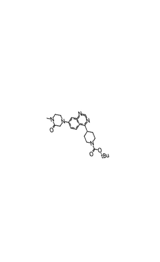 CN1CCN(c2ccc3c(C4CCN(C(=O)OC(C)(C)C)CC4)ncnc3c2)CC1=O